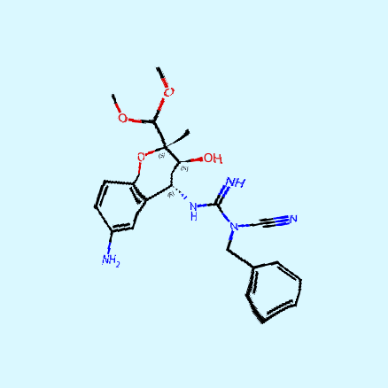 COC(OC)[C@@]1(C)Oc2ccc(N)cc2[C@@H](NC(=N)N(C#N)Cc2ccccc2)[C@@H]1O